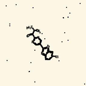 CN(C)C(=O)c1ncc(-c2nc3ccc(Cl)cc3o2)cn1